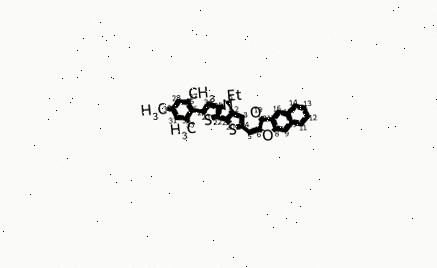 CCn1c2cc(/C=C3/Oc4cc5ccccc5cc4C3=O)sc2c2sc(-c3c(C)cc(C)cc3C)cc21